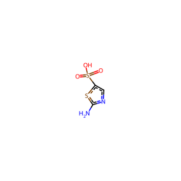 Nc1ncc(S(=O)(=O)O)s1